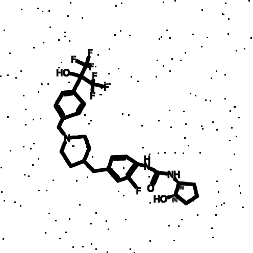 O=C(Nc1ccc(CC2CCN(Cc3ccc(C(O)(C(F)(F)F)C(F)(F)F)cc3)CC2)cc1F)N[C@H]1CCC[C@H]1O